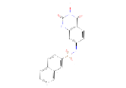 O=c1[nH]c2cc(NS(=O)(=O)c3ccc4ccccc4c3)ccc2c(=O)n1O